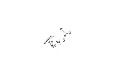 O.O.O.O=S([O-])[O-].[O]=[Zr+2]